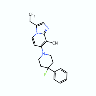 N#Cc1c(N2CCC(F)(c3ccccc3)CC2)ccn2c(CC(F)(F)F)cnc12